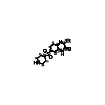 CCc1nc2ccc(S(=O)(=O)C3CCNCC3)cc2[nH]c1=O